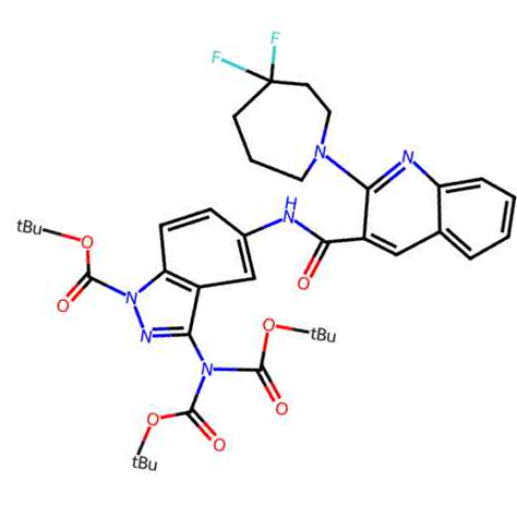 CC(C)(C)OC(=O)N(C(=O)OC(C)(C)C)c1nn(C(=O)OC(C)(C)C)c2ccc(NC(=O)c3cc4ccccc4nc3N3CCCC(F)(F)CC3)cc12